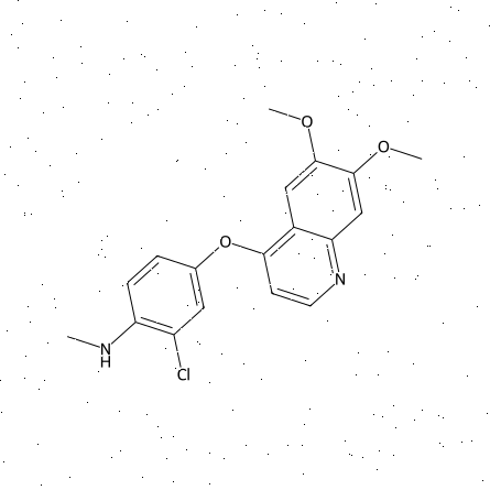 CNc1ccc(Oc2ccnc3cc(OC)c(OC)cc23)cc1Cl